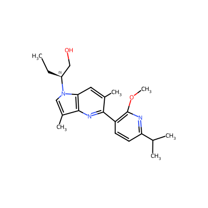 CC[C@@H](CO)n1cc(C)c2nc(-c3ccc(C(C)C)nc3OC)c(C)cc21